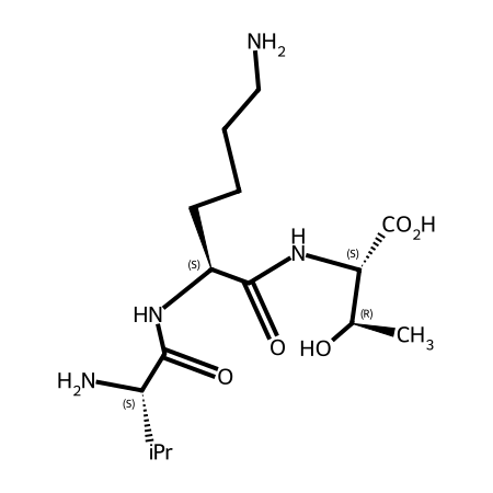 CC(C)[C@H](N)C(=O)N[C@@H](CCCCN)C(=O)N[C@H](C(=O)O)[C@@H](C)O